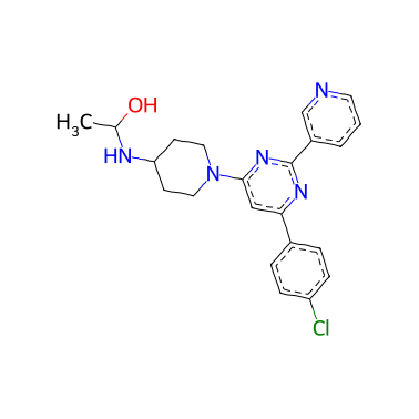 CC(O)NC1CCN(c2cc(-c3ccc(Cl)cc3)nc(-c3cccnc3)n2)CC1